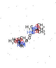 COC(=O)N[C@H](C(=O)N1CC(C)=C[C@H]1c1ncc(-c2ccc3cc(-c4ccc(-c5cnc([C@@H]6[C@@H]7CC[C@@H](C7)N6C(=O)[C@@H](NC(=O)OC)[C@@H](C)OC)[nH]5)cc4)ccc3c2)[nH]1)[C@@H](C)OC